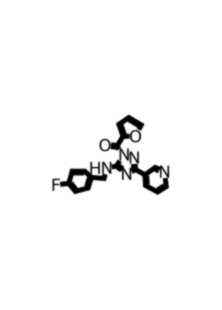 O=C(c1ccco1)n1nc(-c2cccnc2)nc1NCc1ccc(F)cc1